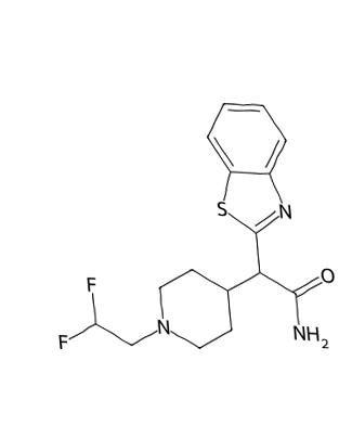 NC(=O)C(c1nc2ccccc2s1)C1CCN(CC(F)F)CC1